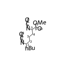 CCCCC(CCCC(N=C=O)C(=O)OC)N=C=O